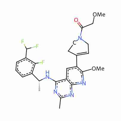 COCC(=O)N1CC=C(c2cc3c(N[C@H](C)c4cccc(C(F)F)c4F)nc(C)nc3nc2OC)CC1